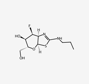 CCCNC1=N[C@@H]2[C@H](F)[C@H](O)[C@@H](CO)O[C@@H]2S1